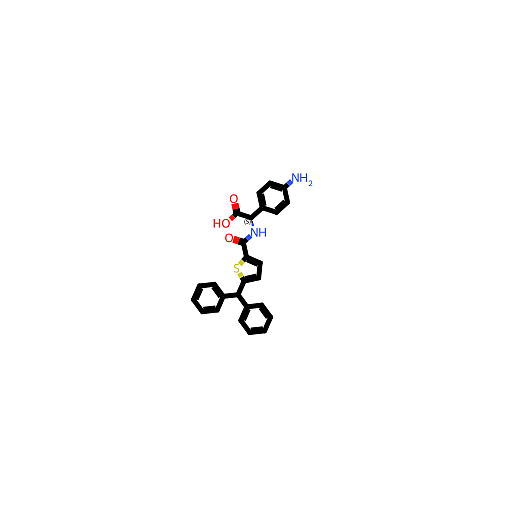 Nc1ccc([C@H](NC(=O)c2ccc(C(c3ccccc3)c3ccccc3)s2)C(=O)O)cc1